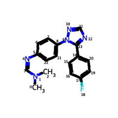 CN(C)/C=N\c1ccc(-n2ncnc2-c2ccc(F)cc2)cc1